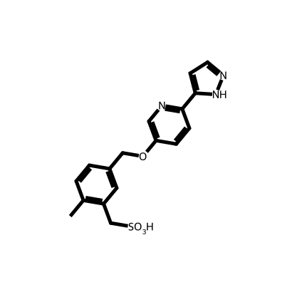 Cc1ccc(COc2ccc(-c3ccn[nH]3)nc2)cc1CS(=O)(=O)O